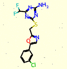 Nc1nc(SCc2ncc(-c3cccc(Cl)c3)o2)nc(C(F)F)n1